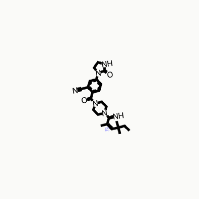 CCC(C)(C)/C=C(/C)C(=N)N1CCN(C(=O)c2ccc(N3CCNC3=O)cc2C#N)CC1